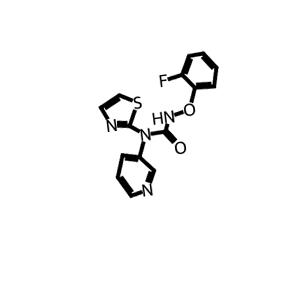 O=C(NOc1ccccc1F)N(c1cccnc1)c1nccs1